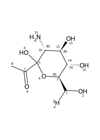 [2H]C(O)[C@H]1OC(O)(C(C)=O)[C@H](N)[C@@H](O)[C@@H]1O